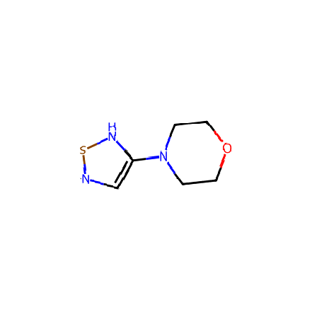 C1=C(N2CCOCC2)NS[N]1